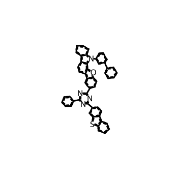 c1ccc(-c2cccc(-n3c4ccccc4c4ccc5c6cc(-c7nc(-c8ccccc8)nc(-c8ccc9c(c8)sc8ccccc89)n7)ccc6oc5c43)c2)cc1